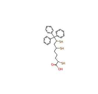 O=C(O)C(S)CCCC(S)CC(S)C(c1ccccc1)(c1ccccc1)c1ccccc1